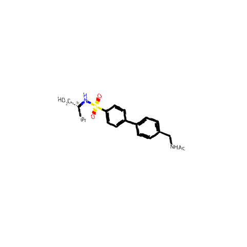 CC(=O)NCc1ccc(-c2ccc(S(=O)(=O)N[C@@H](C(=O)O)C(C)C)cc2)cc1